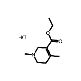 CCOC(=O)C1=C(C)CCN(C)C1.Cl